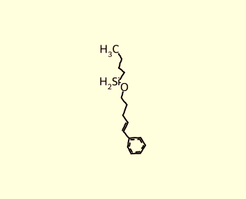 CCCC[SiH2]OCCCC=Cc1ccccc1